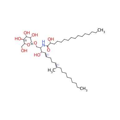 CCCCCCCCCCCCCCC(O)C(=O)NC(CO[C@@H]1OC(CO)[C@@H](O)C(O)C1O)C(O)/C=C/CC/C=C(\C)CCCCCCCCC